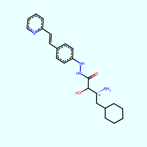 N[C@H](CC1CCCCC1)C(O)C(=O)NNc1ccc(C=Cc2ccccn2)cc1